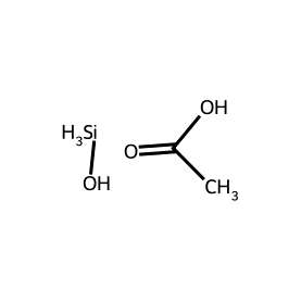 CC(=O)O.O[SiH3]